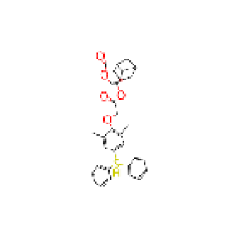 Cc1cc([SH](c2ccccc2)c2ccccc2)cc(C)c1OCC(=O)OC1C2CC3CC4(C2)C(=O)OC1CC34